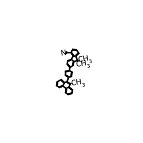 Cc1c(-c2ccc(-c3ccc4c(c3)C(C)(C)c3cccc(C#N)c3-4)cc2)c2ccccc2c2ccccc12